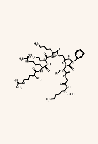 CC(C)C[C@H](NC(=O)[C@H](Cc1ccccc1)NC(=O)CNC(=O)[C@H](CCCCN)NC(=O)[C@H](CCC(=O)O)NC(=O)[C@H](CCCNC(=N)N)NC(=O)[C@@H](N)CCCNC(=N)N)C(=O)NCC(=O)N[C@@H](CCCCN)C(=O)O